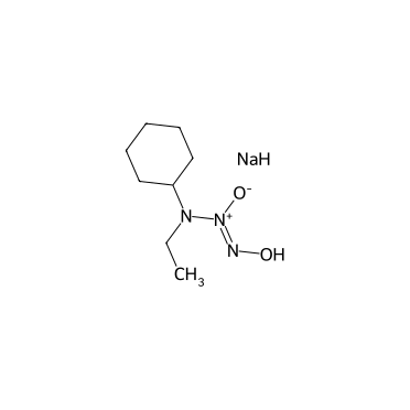 CCN(C1CCCCC1)[N+]([O-])=NO.[NaH]